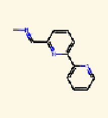 C/N=C/c1cccc(-c2ccccn2)n1